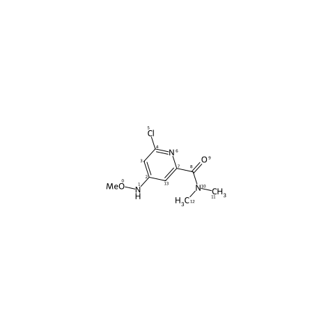 CONc1cc(Cl)nc(C(=O)N(C)C)c1